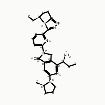 CC[C@H]1CCc2nnc(-c3cccc(N4Cc5c(cc(N6CCC[C@H]6C)nc5[C@@H](N)CC)C4=O)n3)n21